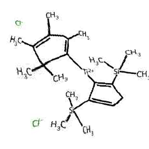 CC1=C(C)C(C)(C)[C]([Ti+2][C]2=C([Si](C)(C)C)CC=C2[Si](C)(C)C)=C1C.[Cl-].[Cl-]